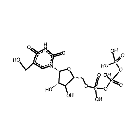 O=c1[nH]c(=O)n([C@@H]2O[C@H](COP(=O)(O)OP(=O)(O)OP(=O)(O)O)C(O)[C@@H]2O)cc1CO